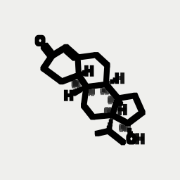 CC(C)[C@]12CC[C@H]3[C@@H](CCC4=CC(=O)CC[C@@H]43)[C@@H]1CC[C@@H]2O